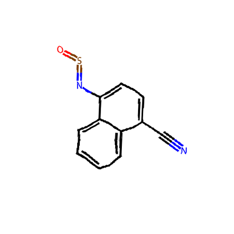 N#Cc1ccc(N=S=O)c2ccccc12